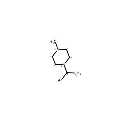 CC(=O)C(C)N1CCN(C)CC1